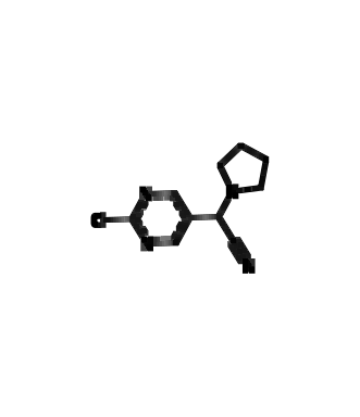 N#CC(c1cnc(Cl)nc1)N1CCCC1